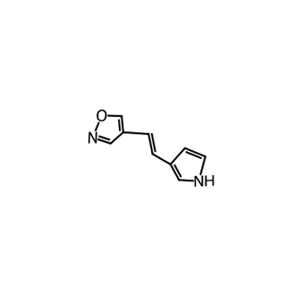 C(=Cc1cnoc1)c1cc[nH]c1